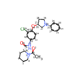 CC(=O)N1CCCC[C@@H]1C(=O)Nc1ccc(O[C@H]2CCN(c3ccccc3)C2)c(Cl)c1